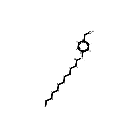 CCCCCCCCCCCCOc1ccc(C[O])cc1